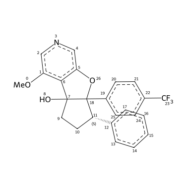 COc1cncc2c1C1(O)CC[C@@H](c3ccccc3)C1(c1ccc(C(F)(F)F)cc1)O2